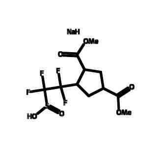 COC(=O)C1CC(C(=O)OC)C(C(F)(F)C(F)(F)S(=O)O)C1.[NaH]